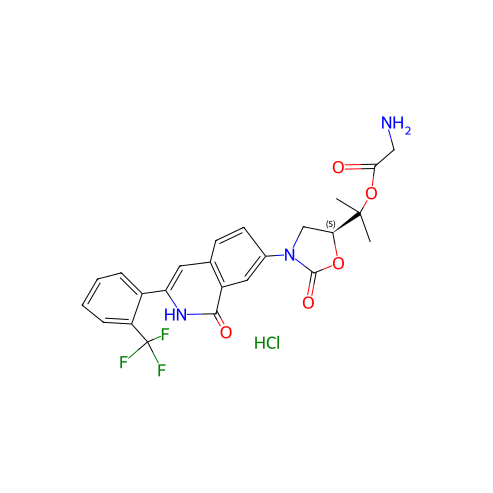 CC(C)(OC(=O)CN)[C@@H]1CN(c2ccc3cc(-c4ccccc4C(F)(F)F)[nH]c(=O)c3c2)C(=O)O1.Cl